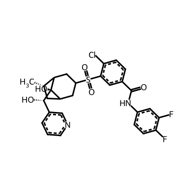 C[C@H]1CC2CC(S(=O)(=O)c3cc(C(=O)Nc4ccc(F)c(F)c4)ccc3Cl)CC1[C@@]2(O)[C@@H](O)c1cccnc1